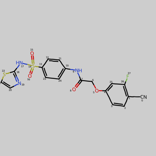 N#Cc1ccc(OCC(=O)Nc2ccc(S(=O)(=O)Nc3nccs3)cc2)cc1F